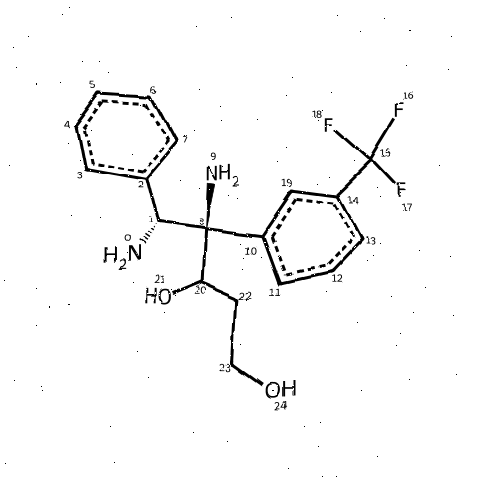 N[C@H](c1ccccc1)[C@](N)(c1cccc(C(F)(F)F)c1)C(O)CCO